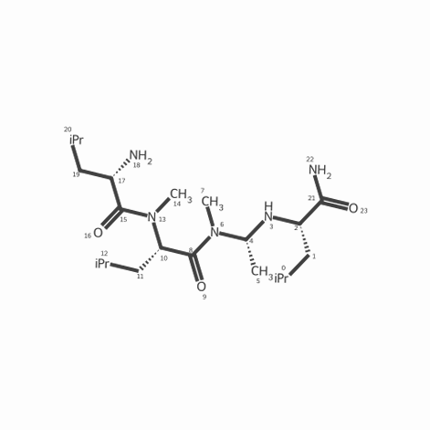 CC(C)C[C@H](N[C@H](C)N(C)C(=O)[C@H](CC(C)C)N(C)C(=O)[C@@H](N)CC(C)C)C(N)=O